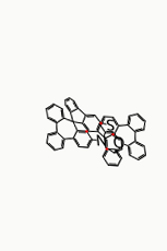 c1ccc(N(c2ccc3c(c2)C2(c4ccccc4-c4ccccc4-3)c3ccccc3-c3cc4sc5ccccc5c4cc32)c2cccc3c2Oc2ccccc2-c2ccccc2-3)cc1